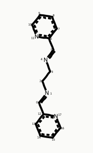 C(=N\CC/N=C/c1ccccn1)/c1ccccn1